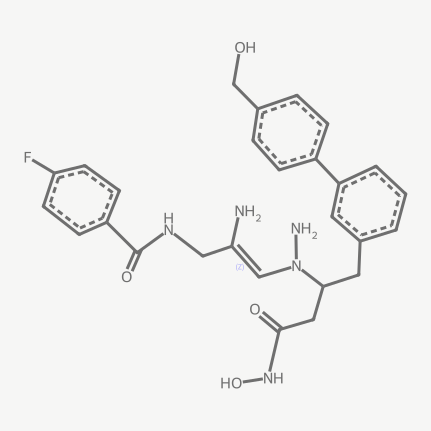 N/C(=C\N(N)C(CC(=O)NO)Cc1cccc(-c2ccc(CO)cc2)c1)CNC(=O)c1ccc(F)cc1